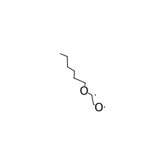 CCCCCCO[CH]C[O]